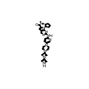 CN(C)C(=O)c1cc2cnc(Nc3ccc(N4CCN(C5CN(C6CNC6)C5)CC4)cn3)nc2n1C1CCCC1